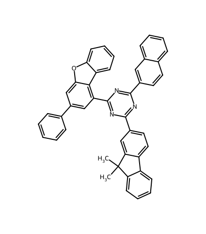 CC1(C)c2ccccc2-c2ccc(-c3nc(-c4ccc5ccccc5c4)nc(-c4cc(-c5ccccc5)cc5oc6ccccc6c45)n3)cc21